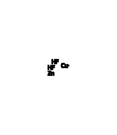 F.F.[Cu].[Zn]